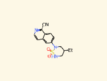 CC[C@H]1CNS(=O)(=O)N(c2ccc3c(C#N)nccc3c2)C1